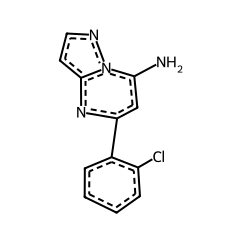 Nc1cc(-c2ccccc2Cl)nc2ccnn12